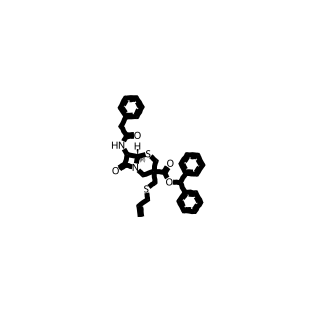 C=CCSCC1(C(=O)OC(c2ccccc2)c2ccccc2)CS[C@@H]2C(NC(=O)Cc3ccccc3)C(=O)N2C1